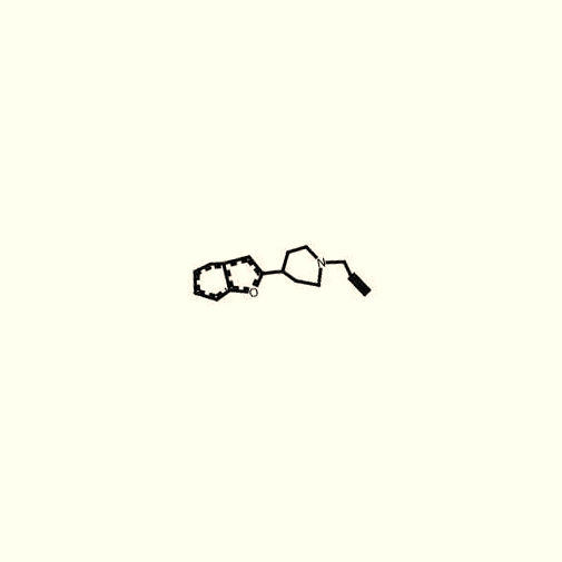 C#CCN1CCC(c2cc3ccccc3o2)CC1